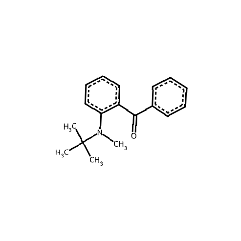 CN(c1ccccc1C(=O)c1ccccc1)C(C)(C)C